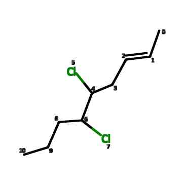 CC=CCC(Cl)C(Cl)CCC